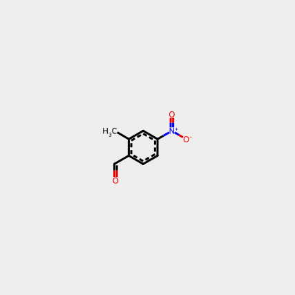 Cc1cc([N+](=O)[O-])ccc1C=O